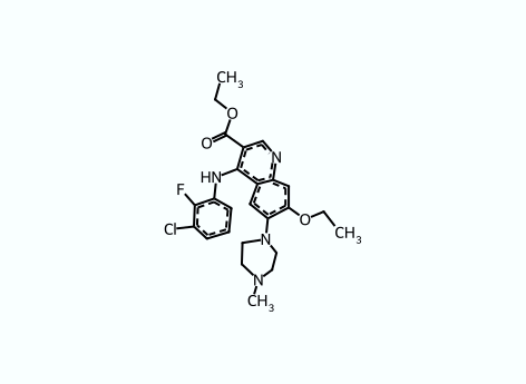 CCOC(=O)c1cnc2cc(OCC)c(N3CCN(C)CC3)cc2c1Nc1cccc(Cl)c1F